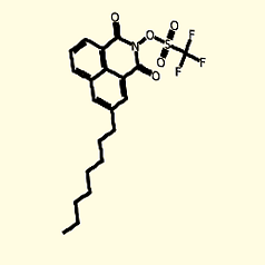 CCCCCCCCc1cc2c3c(cccc3c1)C(=O)N(OS(=O)(=O)C(F)(F)F)C2=O